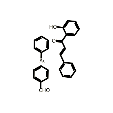 CC(=O)c1ccccc1.O=C(C=Cc1ccccc1)c1ccccc1O.O=Cc1ccccc1